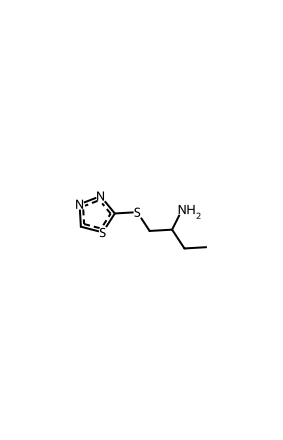 CCC(N)CSc1nncs1